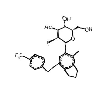 Cc1c([C@@H]2O[C@H](CO)C(O)[C@H](O)[C@@H]2I)cc(Cc2ccc(C(F)(F)F)cc2)c2c1CCC2